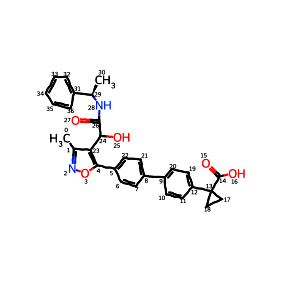 Cc1noc(-c2ccc(-c3ccc(C4(C(=O)O)CC4)cc3)cc2)c1C(O)C(=O)N[C@H](C)c1ccccc1